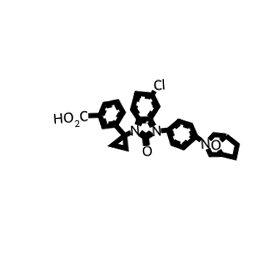 O=C(O)c1cccc(C2(n3c(=O)n(-c4ccc(N5CC6CCC(C5)O6)cc4)c4cc(Cl)ccc43)CC2)c1